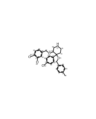 Cc1ccc(COC2(c3ccc(Cl)cc3)CCNCC2OCc2ccc(Cl)c(Cl)c2)cc1